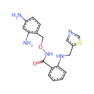 Nc1ccc(CONC(=O)c2ccccc2NCc2cncs2)c(N)c1